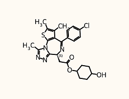 Cc1sc2c(c1C)C(c1ccc(Cl)cc1)=N[C@@H](CC(=O)OC1CCC(O)CC1)c1nnc(C)n1-2